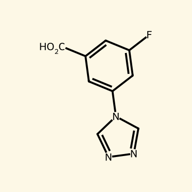 O=C(O)c1cc(F)cc(-n2cnnc2)c1